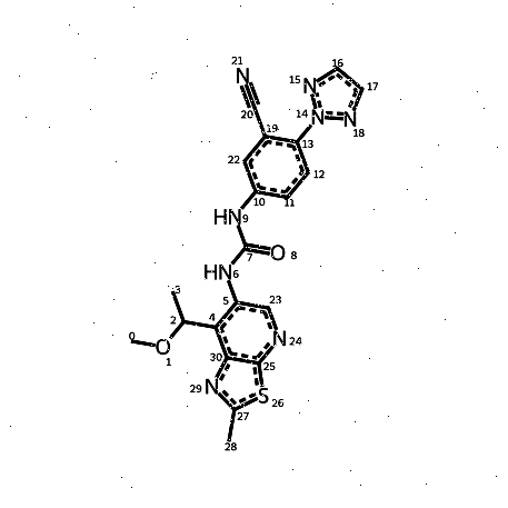 COC(C)c1c(NC(=O)Nc2ccc(-n3nccn3)c(C#N)c2)cnc2sc(C)nc12